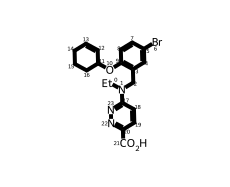 CCN(Cc1cc(Br)ccc1OC1C=CCCC1)c1ccc(C(=O)O)nn1